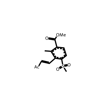 COC(=O)c1ccc(S(C)(=O)=O)c(C=CC(C)=O)c1C